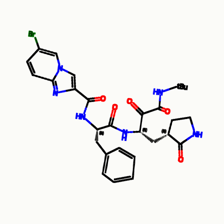 CC(C)(C)NC(=O)C(=O)[C@H](C[C@@H]1CCNC1=O)NC(=O)[C@H](Cc1ccccc1)NC(=O)c1cn2cc(Br)ccc2n1